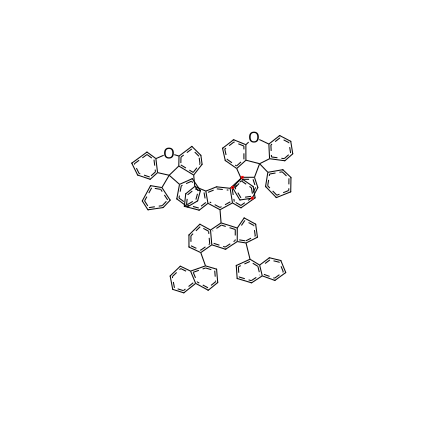 c1ccc(C2(c3ccccc3)c3ccccc3Oc3cccc(-c4cccc5c(-c6c7cccc(-c8cccc9ccccc89)c7cc7c(-c8cccc9ccccc89)cccc67)c6cccc(-c7cccc8c7C(c7ccccc7)(c7ccccc7)c7ccccc7O8)c6cc45)c32)cc1